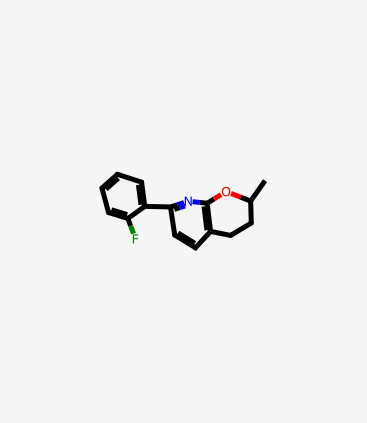 CC1CCc2ccc(-c3ccccc3F)nc2O1